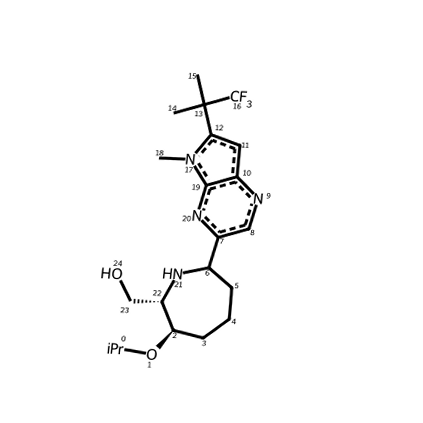 CC(C)O[C@@H]1CCCC(c2cnc3cc(C(C)(C)C(F)(F)F)n(C)c3n2)N[C@H]1CO